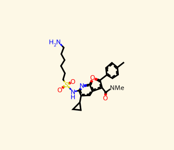 CNC(=O)c1c(-c2ccc(C)cc2)oc2nc(NS(=O)(=O)CCCCCCN)c(C3CC3)cc12